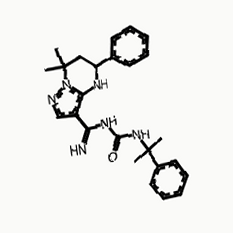 CC(C)(NC(=O)NC(=N)c1cnn2c1NC(c1ccccc1)CC2(C)C)c1ccccc1